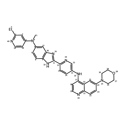 CCc1cc(N(C)c2ccc3[nH]c(-c4ccc(Nc5ccnc6ccc(N7CCOCC7)cc56)cn4)nc3c2)ccn1